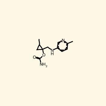 Cc1ccc(NCC2(OC(N)=O)CC2C)cn1